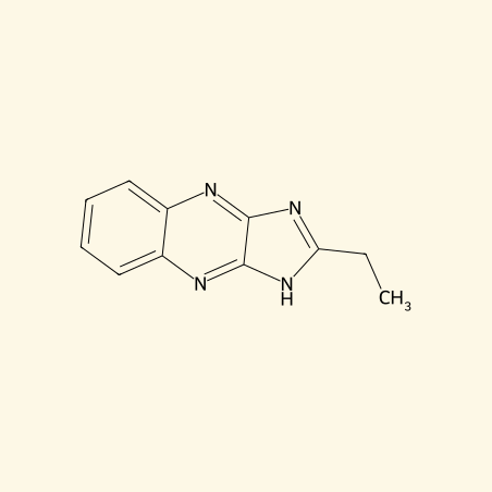 CCc1nc2nc3ccccc3nc2[nH]1